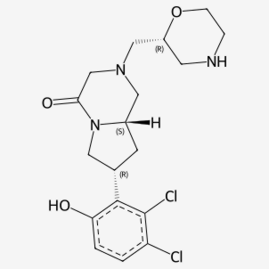 O=C1CN(C[C@H]2CNCCO2)C[C@@H]2C[C@H](c3c(O)ccc(Cl)c3Cl)CN12